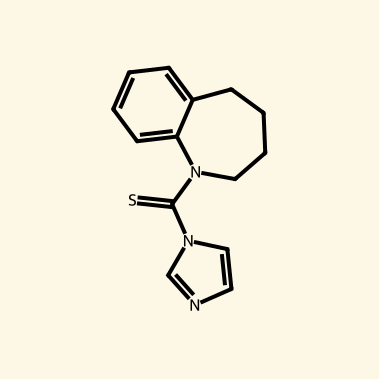 S=C(N1CCCCc2ccccc21)n1ccnc1